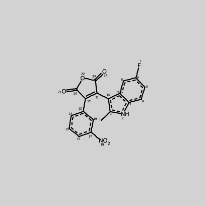 Cc1[nH]c2ccc(F)cc2c1C1=C(c2cccc([N+](=O)[O-])c2)C(=O)OC1=O